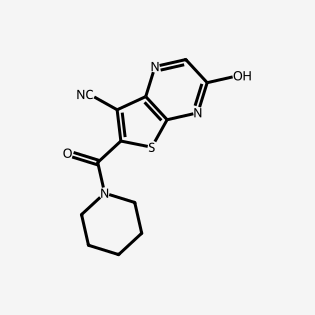 N#Cc1c(C(=O)N2CCCCC2)sc2nc(O)cnc12